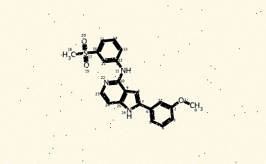 COc1cccc(-c2cc3c(Nc4cccc(S(C)(=O)=O)c4)nccc3[nH]2)c1